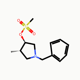 C[C@H]1CN(Cc2ccccc2)C[C@@H]1OS(C)(=O)=O